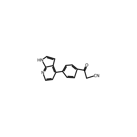 N#CCC(=O)c1ccc(-c2ccnc3[nH]ccc23)cc1